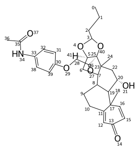 CCCC1O[C@@H]2CC3C4CCC5=CC(=O)C=CC5(C)C4[C@@H](O)CC3(C)[C@]2(C(=O)COc2ccc(NC(C)=O)cc2)O1